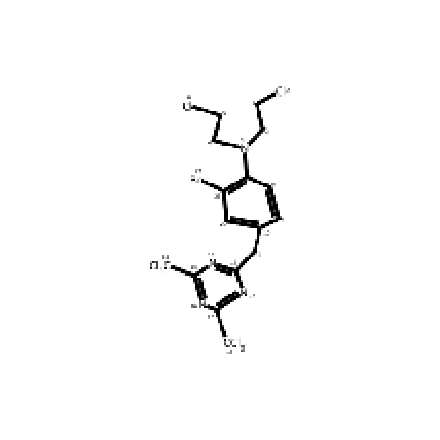 ClCCN(CCCl)c1ccc(Cc2nc(C(Cl)(Cl)Cl)nc(C(Cl)(Cl)Cl)n2)cc1Br